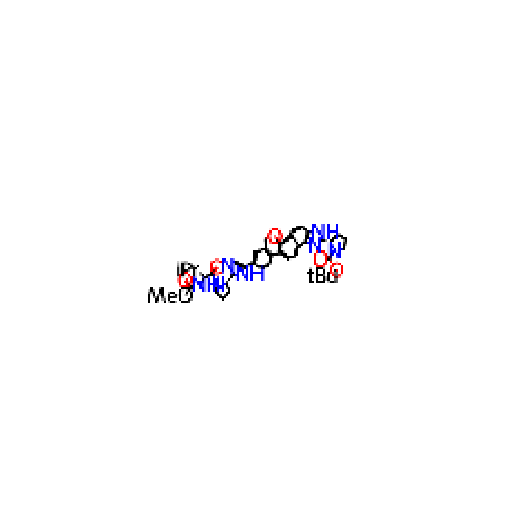 COC(=O)N[C@H](C(=O)N1CCC[C@@H]1c1ncc(-c2ccc3c(c2)COc2c-3ccc3c2ccc2[nH]c([C@@H]4CCCN4C(=O)OC(C)(C)C)nc23)[nH]1)C(C)C